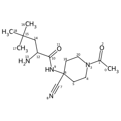 CC(=O)N1CCC(C#N)(NC(=O)C(N)CC(C)(C)C)CC1